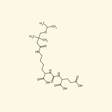 CC(C)OCC(C)(C)CC(=O)NCCCCC(NC(=O)NC(CCC(=O)O)C(=O)O)C(=O)O